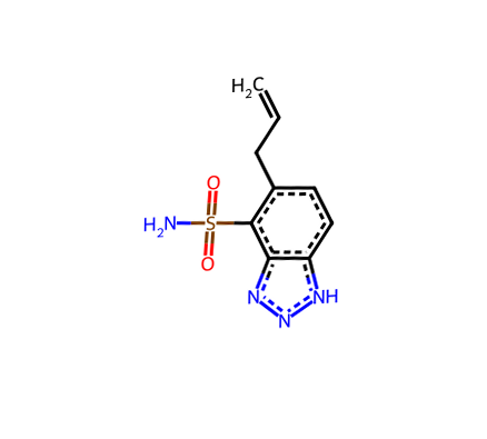 C=CCc1ccc2[nH]nnc2c1S(N)(=O)=O